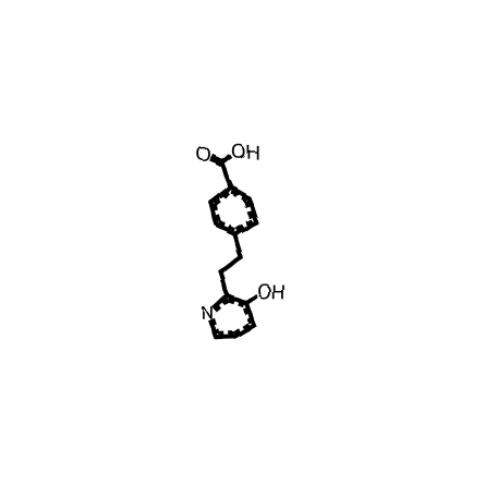 O=C(O)c1ccc(CCc2ncccc2O)cc1